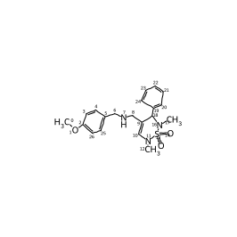 COc1ccc(CNCC2=CN(C)S(=O)(=O)N(C)C2c2ccccc2)cc1